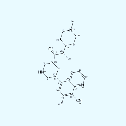 C[C@H](C(=O)[C@H]1CNC[C@@H](c2cc(F)c(C#N)c3ncccc23)C1)C1CCN(C)CC1